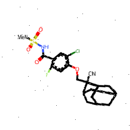 CNS(=O)(=O)NC(=O)c1cc(Cl)c(OCC2(C#N)C3CC4CC(C3)CC2C4)cc1F